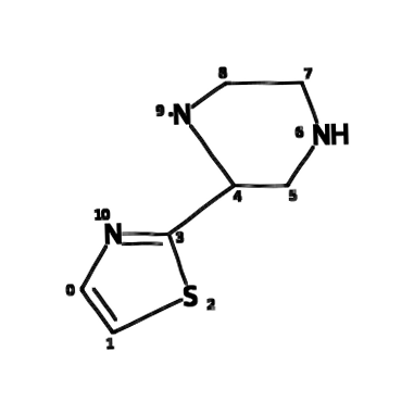 c1csc(C2CNCC[N]2)n1